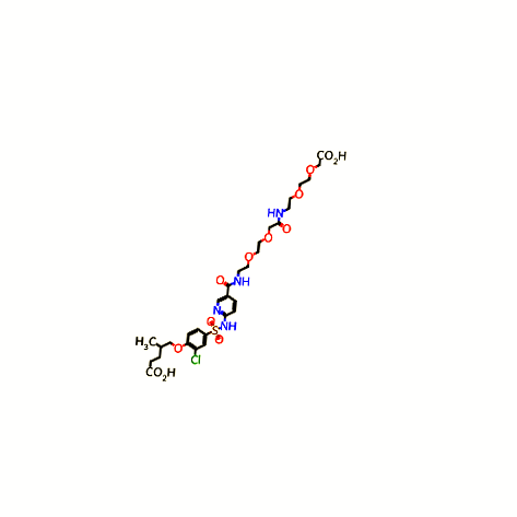 CC(CCC(=O)O)COc1ccc(S(=O)(=O)Nc2ccc(C(=O)NCCOCCOCC(=O)NCCOCCOCC(=O)O)cn2)cc1Cl